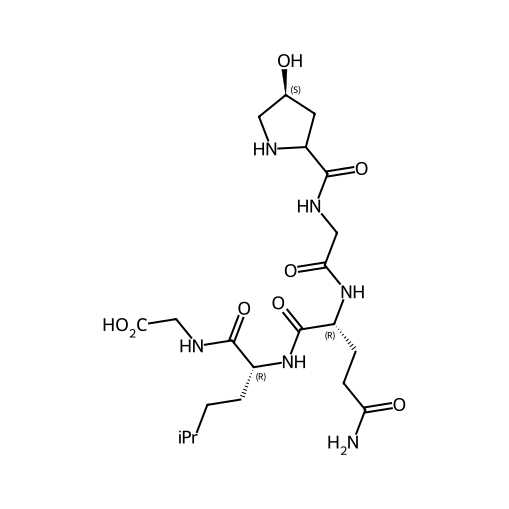 CC(C)CC[C@@H](NC(=O)[C@@H](CCC(N)=O)NC(=O)CNC(=O)C1C[C@H](O)CN1)C(=O)NCC(=O)O